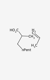 C=CC.CCCCCCC(C)C(=O)O